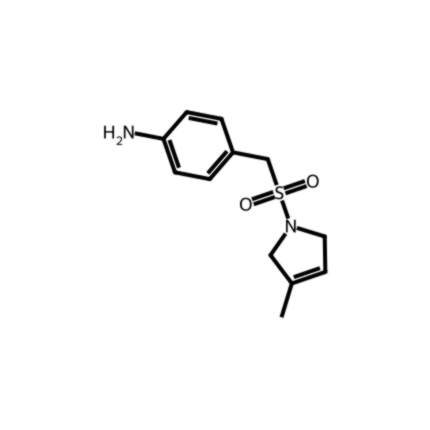 CC1=CCN(S(=O)(=O)Cc2ccc(N)cc2)C1